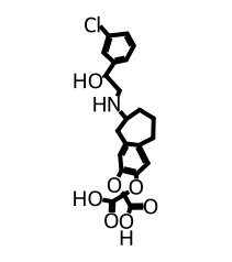 O=C(O)C1(C(=O)O)Oc2cc3c(cc2O1)CC(NC[C@H](O)c1cccc(Cl)c1)CCC3